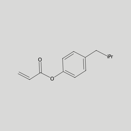 C=CC(=O)Oc1ccc(CC(C)C)cc1